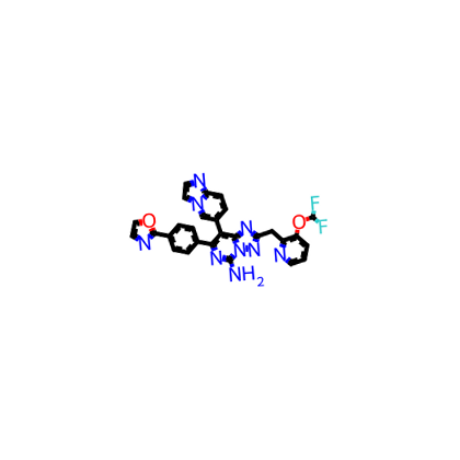 Nc1nc(-c2ccc(-c3ncco3)cc2)c(-c2ccc3nccn3c2)c2nc(Cc3ncccc3OC(F)F)nn12